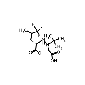 CC(C[C@H](NN(CC(=O)O)C(C)(C)C)C(=O)O)C(F)(F)F